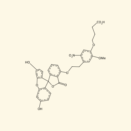 COc1cc(CCOc2cccc3c2C(=O)OC32c3ccc(O)cc3Oc3cc(O)ccc32)c([N+](=O)[O-])cc1OCCCC(=O)O